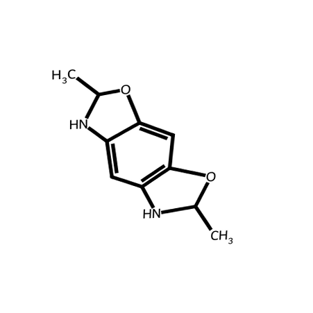 CC1Nc2cc3c(cc2O1)OC(C)N3